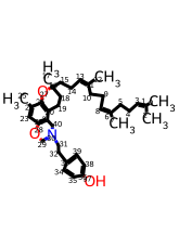 CC(C)=CCCC(C)=CCCC(C)=CCCC1(C)CCc2c3c(cc(C)c2O1)OCN(CCc1ccc(O)cc1)C3